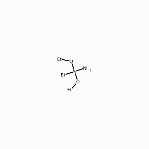 CCO[Si](N)(CC)OCC